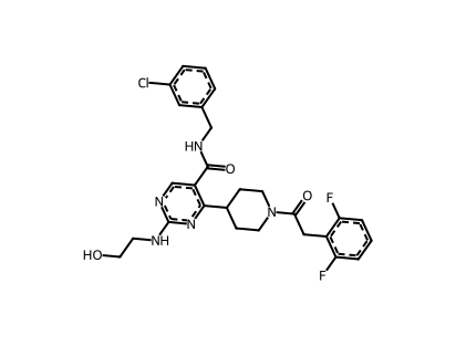 O=C(NCc1cccc(Cl)c1)c1cnc(NCCO)nc1C1CCN(C(=O)Cc2c(F)cccc2F)CC1